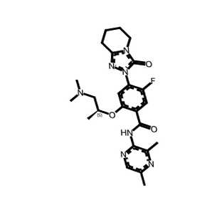 Cc1cnc(NC(=O)c2cc(F)c(-n3nc4n(c3=O)CCCC4)cc2O[C@@H](C)CN(C)C)c(C)n1